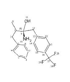 CC(Cc1ccccc1)[C@](N)(O)Cc1ccc(C(F)(F)F)cc1